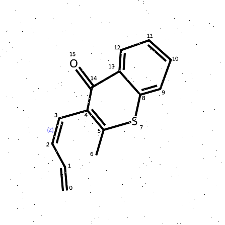 C=C/C=C\c1c(C)sc2ccccc2c1=O